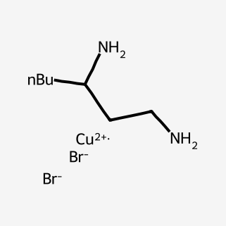 CCCCC(N)CCN.[Br-].[Br-].[Cu+2]